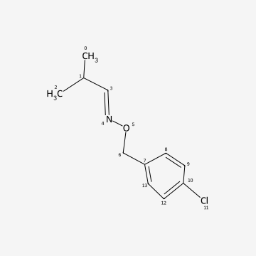 CC(C)/C=N/OCc1ccc(Cl)cc1